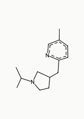 Cc1ccc(CC2CCN(C(C)C)C2)nc1